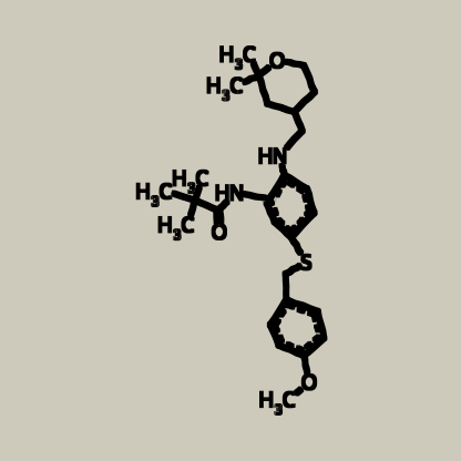 COc1ccc(CSc2ccc(NCC3CCOC(C)(C)C3)c(NC(=O)C(C)(C)C)c2)cc1